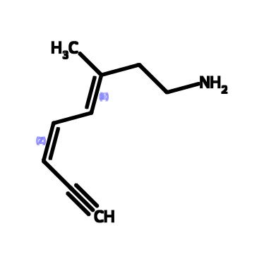 C#C/C=C\C=C(/C)CCN